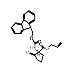 C=CCOC(=O)[C@]1(NC(=O)OCC2c3ccccc3-c3ccccc32)CCCC1=O